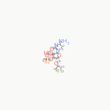 Nc1ccn([C@@H]2O[C@H](COc3ccsc3)[C@@H](O[PH](=O)O)[C@H]2O)c(=O)n1